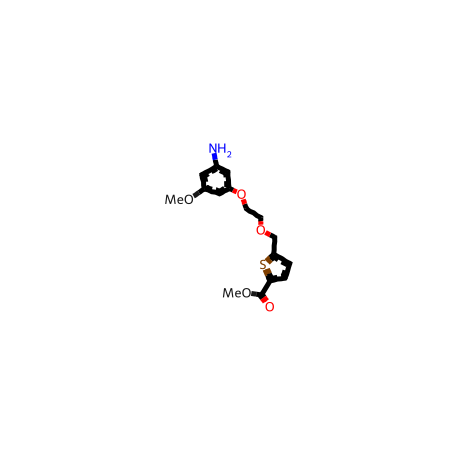 COC(=O)c1ccc(COCCOc2cc(N)cc(OC)c2)s1